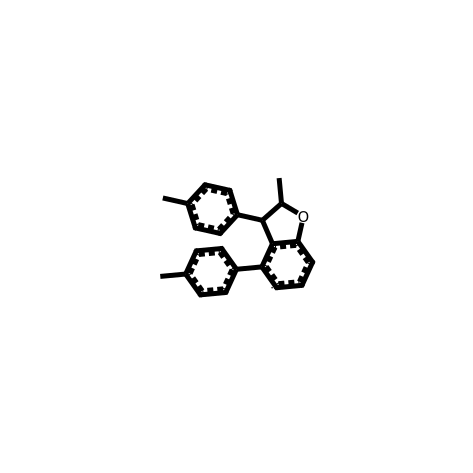 Cc1ccc(-c2[c]ccc3c2C(c2ccc(C)cc2)C(C)O3)cc1